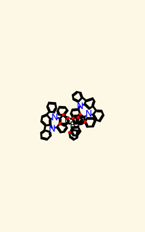 c1ccc(B(c2ccc(-n3c4ccccc4c4ccc5c6ccccc6n(-c6cccc(B(c7ccccc7)c7ccccc7)c6)c5c43)cc2)c2ccc(-n3c4ccccc4c4ccc5c6ccccc6n(-c6cccc(B(c7ccccc7)c7ccccc7)c6)c5c43)cc2)cc1